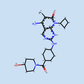 CC(C)c1c(N)c2cnc(NC3CCC(C(=O)N4CCC(O)CC4)CC3)nc2n(C2CCC2)c1=O